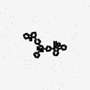 c1ccc(-c2nc(-c3ccc(C4=c5ccccc5=C5c6ccccc6OC5N4)cc3)cc(-c3ccc(-c4cccc5c4sc4ccccc45)cc3)n2)cc1